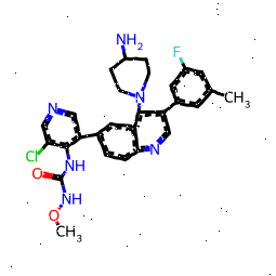 CONC(=O)Nc1c(Cl)cncc1-c1ccc2ncc(-c3cc(C)cc(F)c3)c(N3CCC(N)CC3)c2c1